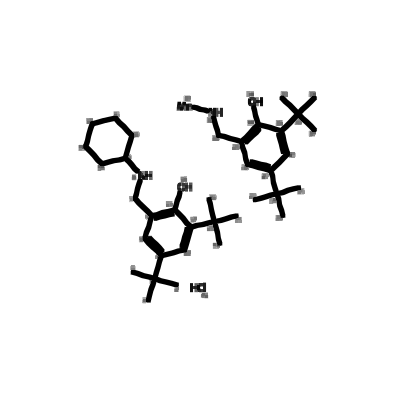 CC(C)(C)c1cc(CNC2CCCCC2)c(O)c(C(C)(C)C)c1.CC(C)(C)c1cc(C[NH][Mn])c(O)c(C(C)(C)C)c1.Cl